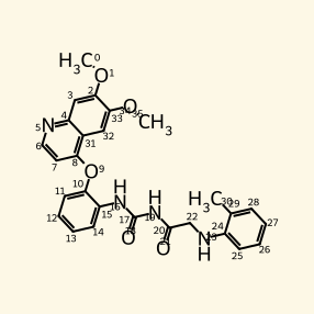 COc1cc2nccc(Oc3ccccc3NC(=O)NC(=O)CNc3ccccc3C)c2cc1OC